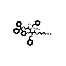 COC(OCCCC(=O)O)C(OCc1ccccc1)C(O)C(OCc1ccccc1)C(C)COC(c1ccccc1)(c1ccccc1)c1ccccc1